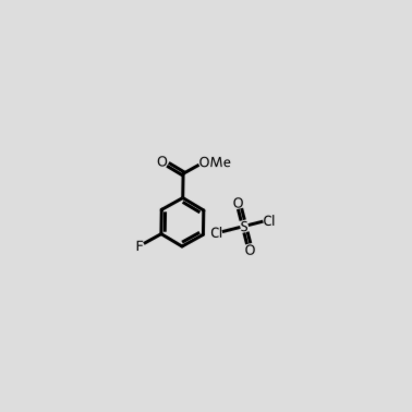 COC(=O)c1cccc(F)c1.O=S(=O)(Cl)Cl